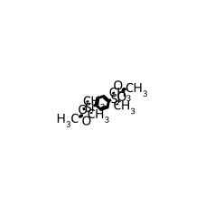 CC(=O)O[Si](C)(C)c1ccc([Si](C)(C)OC(C)=O)cc1